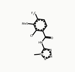 CSc1c(C(F)(F)F)ccc(C(=O)Nc2nnnn2C)c1Cl